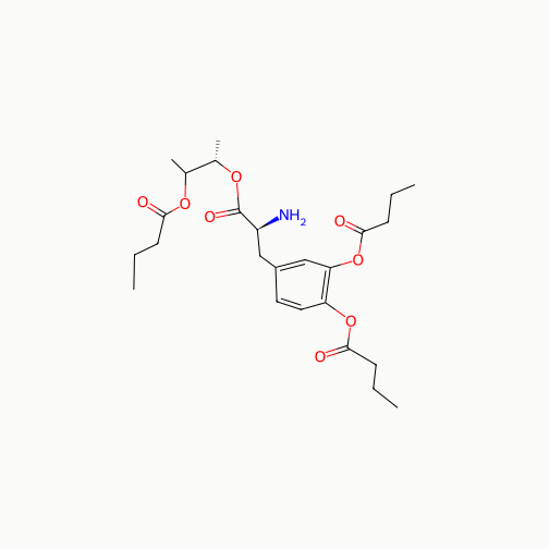 CCCC(=O)Oc1ccc(C[C@H](N)C(=O)O[C@@H](C)C(C)OC(=O)CCC)cc1OC(=O)CCC